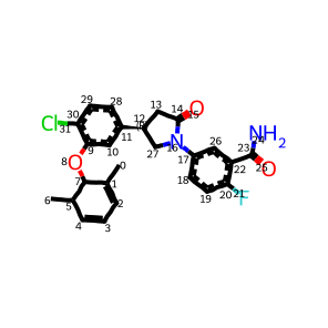 CC1=CC=CC(C)C1Oc1cc([C@H]2CC(=O)N(c3ccc(F)c(C(N)=O)c3)C2)ccc1Cl